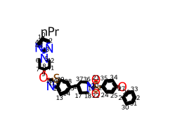 CCCc1cnc(N2CCC(Oc3nc4ccc(C5=CCN(S(=O)(=O)c6ccc(Oc7ccccc7)cc6)CC5)cc4s3)CC2)nc1